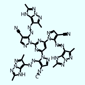 [C-]#[N+]c1cnn(-c2cc(-n3ncc(C#N)c3/N=N/c3c(C)nn4nc(C)[nH]c34)nc(-n3ncc(C#N)c3/N=N/c3c(C)nn4nc(C)[nH]c34)n2)c1/N=N/c1c(C)nn2nc(C)[nH]c12